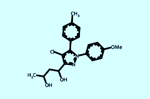 COc1ccc(-n2nc(C(O)CC(C)O)c(Cl)c2-c2ccc(C)cc2)cc1